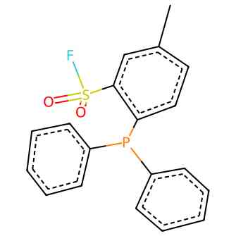 Cc1ccc(P(c2ccccc2)c2ccccc2)c(S(=O)(=O)F)c1